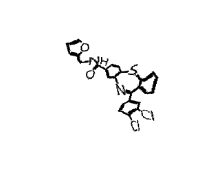 O=C(NCc1ccco1)c1ccc2c(c1)N=C(c1ccc(Cl)c(Cl)c1)c1ccccc1S2